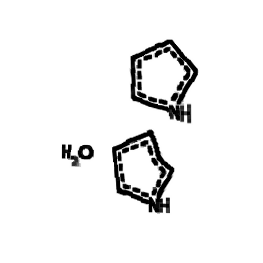 O.c1cc[nH]c1.c1cc[nH]c1